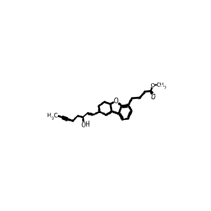 CC#CCCC(O)/C=C/C1CCC2Oc3c(CCCC(=O)OC)cccc3C2C1